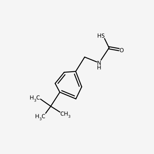 CC(C)(C)c1ccc(CNC(=O)S)cc1